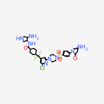 NC1CNCC1NC(=O)C1CCC(C(F)(F)c2cc(Cl)nc(N3CCN(S(=O)(=O)c4ccc(N5C[C@H](N)CC5=O)cc4)CC3)c2)CC1